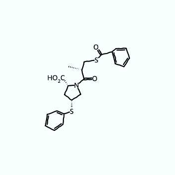 C[C@H](CSC(=O)c1ccccc1)C(=O)N1C[C@H](Sc2ccccc2)C[C@@H]1C(=O)O